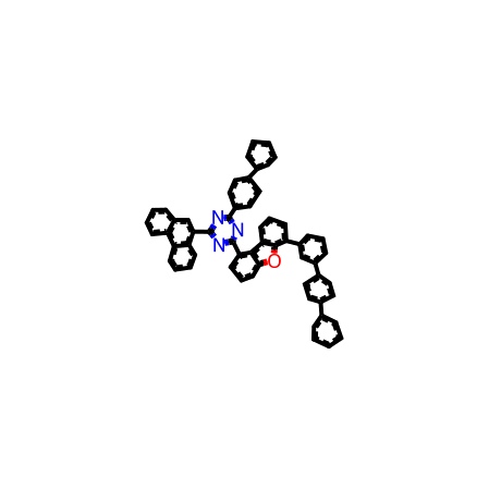 c1ccc(-c2ccc(-c3cccc(-c4cccc5c4oc4cccc(-c6nc(-c7ccc(-c8ccccc8)cc7)nc(-c7cc8ccccc8c8ccccc78)n6)c45)c3)cc2)cc1